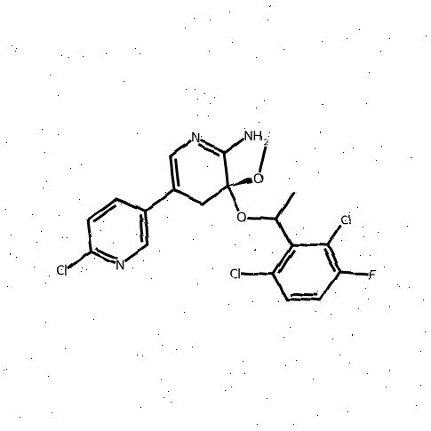 CO[C@@]1(OC(C)c2c(Cl)ccc(F)c2Cl)CC(c2ccc(Cl)nc2)=CN=C1N